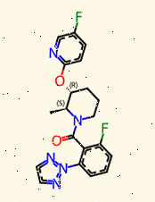 C[C@H]1[C@H](Oc2ccc(F)cn2)CCCN1C(=O)c1c(F)cccc1-n1nccn1